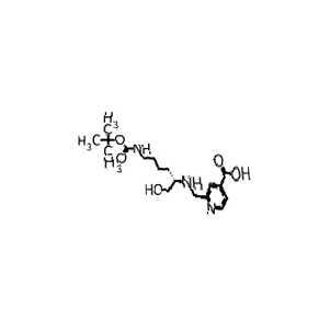 CC(C)(C)OC(=O)NCCCC[C@@H](CO)NCc1cc(C(=O)O)ccn1